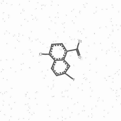 CCC(=O)c1ccc(Cl)c2ccc(F)cc12